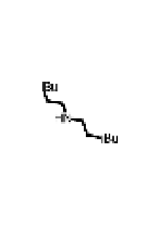 CCC(C)CCNCCC(C)CC